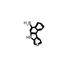 Bc1cc2[nH]c3cnccc3c2c2ccccc12